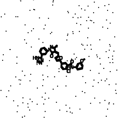 COc1cccc(NC(=O)c2cc(-c3ccc(/C=C4\C(=O)N(c5cccc(-c6nnn[nH]6)c5)N=C4C)o3)ccc2Cl)c1